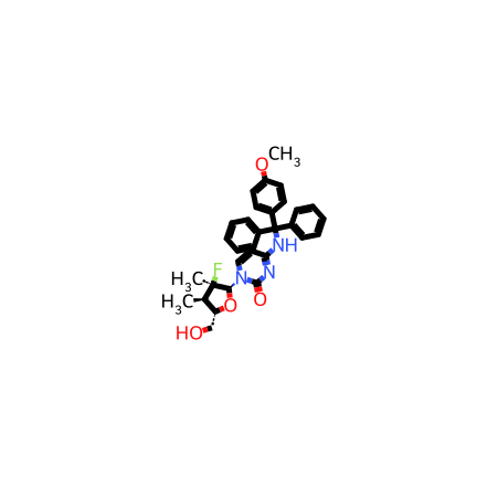 COc1ccc(C(Nc2ccn([C@@H]3O[C@H](CO)[C@@H](C)[C@@]3(C)F)c(=O)n2)(c2ccccc2)c2ccccc2)cc1